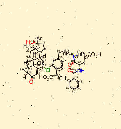 CC(=O)[C@@]1(O)CC[C@H]2[C@@H]3C=C(Cl)C4=CC(=O)[C@@H]5C[C@@H]5[C@]4(C)[C@H]3CC[C@@]21C.CC(C)Cc1ccc(C(C)C(=O)O)cc1.CCCN(CCC)C(=O)C(CCC(=O)O)NC(=O)c1ccccc1